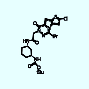 CC(C)c1nn(CC(=O)N[C@H]2CCC[C@@H](NC(=O)OC(C)(C)C)C2)c(=O)c2cc3sc(Cl)cc3n12